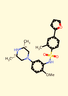 COc1ccc(N2C[C@@H](C)N[C@@H](C)C2)cc1NS(=O)(=O)c1ccc(-c2ccco2)cc1C